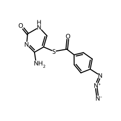 [N-]=[N+]=Nc1ccc(C(=O)Sc2c[nH]c(=O)nc2N)cc1